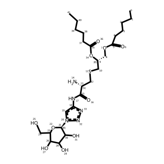 CCCCCC(=O)OC[C@H](CSC[C@@H](N)C(=O)Nc1cn([C@@H]2OC(CO)C(O)C(O)C2O)nn1)OC(=O)CCCCC